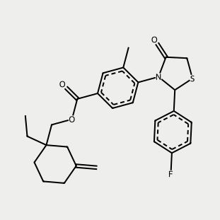 C=C1CCCC(CC)(COC(=O)c2ccc(N3C(=O)CSC3c3ccc(F)cc3)c(C)c2)C1